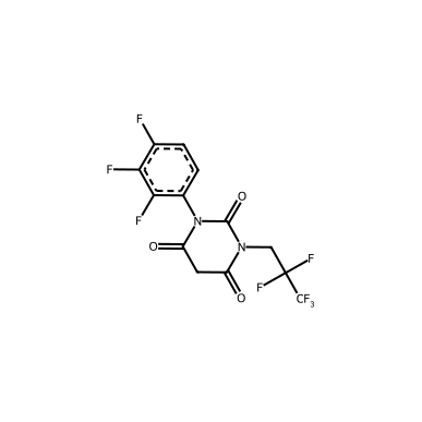 O=C1CC(=O)N(c2ccc(F)c(F)c2F)C(=O)N1CC(F)(F)C(F)(F)F